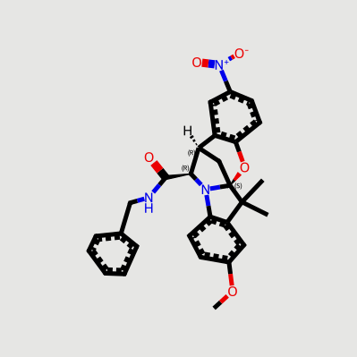 COc1ccc2c(c1)C(C)(C)[C@]13C[C@H](c4cc([N+](=O)[O-])ccc4O1)[C@H](C(=O)NCc1ccccc1)N23